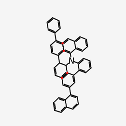 C1=CC(c2ccc(-c3ccccc3)cc2)C(N(c2ccccc2-c2cccc(-c3cccc4ccccc34)c2)c2cccc3ccccc23)C=C1